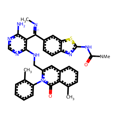 C/N=C(/c1ccc2nc(NC(=O)NC)sc2c1)c1c(N)ncnc1NCc1cc2cccc(C)c2c(=O)n1-c1ccccc1C